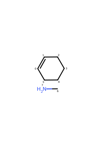 C1=CCCCC1.CN